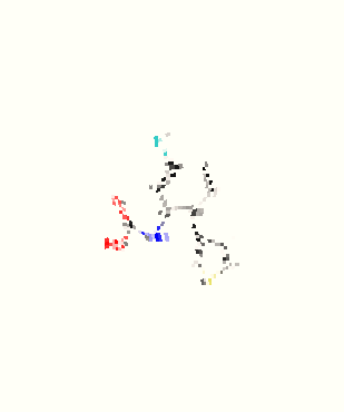 O=C(O)Nc1cc(F)ccc1-c1ccsc1